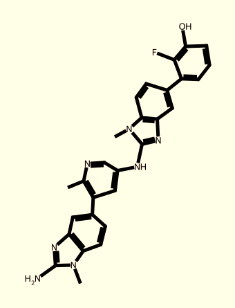 Cc1ncc(Nc2nc3cc(-c4cccc(O)c4F)ccc3n2C)cc1-c1ccc2c(c1)nc(N)n2C